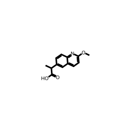 COc1ccc2cc(C(C)C(=O)O)ccc2n1